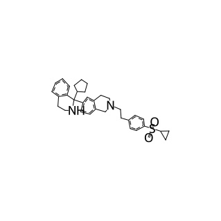 O=S(=O)(c1ccc(CCN2CCc3cc(C4(C5CCCC5)NCCc5ccccc54)ccc3C2)cc1)C1CC1